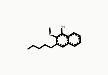 CCCCCc1cc2ccccc2c(S)c1OC